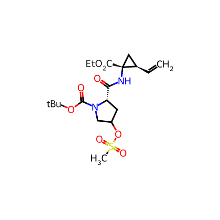 C=C[C@@H]1C[C@]1(NC(=O)[C@@H]1CC(OS(C)(=O)=O)CN1C(=O)OC(C)(C)C)C(=O)OCC